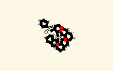 O=S(=O)(Cc1ccccc1C[PH](c1cccc2ccccc12)(c1cccc2ccccc12)c1cccc2ccccc12)c1ccccc1